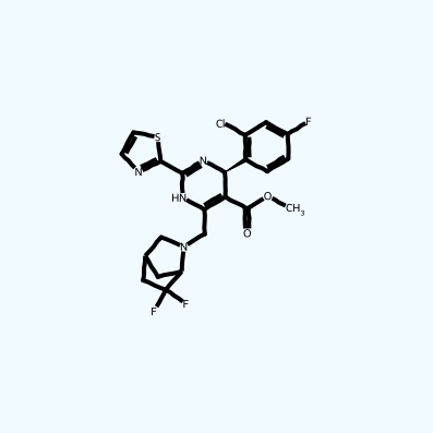 COC(=O)C1=C(CN2CC3CC2C(F)(F)C3)NC(c2nccs2)=N[C@H]1c1ccc(F)cc1Cl